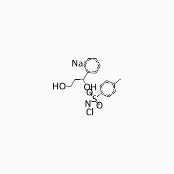 Cc1ccc(S(=O)(=O)[N-]Cl)cc1.OCCC(O)c1ccccc1.[Na+]